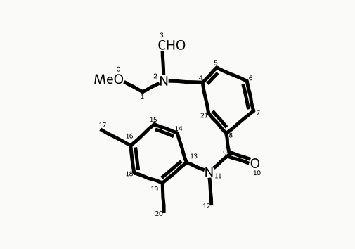 COCN(C=O)c1cccc(C(=O)N(C)c2ccc(C)cc2C)c1